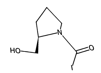 O=C(I)N1CCC[C@@H]1CO